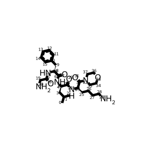 CC(C)C[C@@H](NC(=O)[C@@H](Cc1ccccc1)NC(=O)CN)C(=O)N[C@H](CCCCN)C(=O)N1CCOCC1